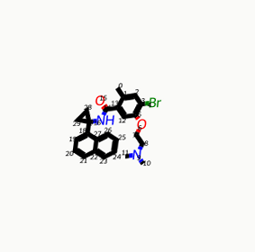 Cc1cc(Br)c(OCCN(C)C)cc1C(=O)NC1(c2cccc3ccccc23)CC1